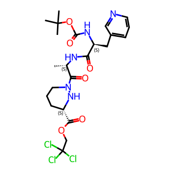 C[C@H](NC(=O)[C@H](Cc1cccnc1)NC(=O)OC(C)(C)C)C(=O)N1CCC[C@@H](C(=O)OCC(Cl)(Cl)Cl)N1